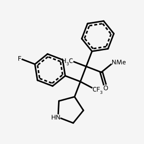 CNC(=O)C(C)(c1ccccc1)C(c1ccc(F)cc1)(C1CCNC1)C(F)(F)F